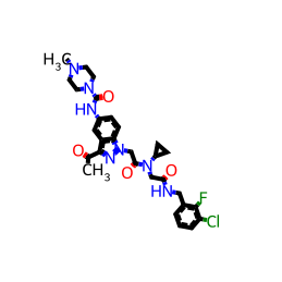 CC(=O)c1nn(CC(=O)N(CC(=O)NCc2cccc(Cl)c2F)C2CC2)c2ccc(NC(=O)N3CCN(C)CC3)cc12